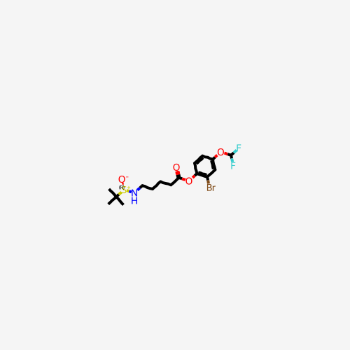 CC(C)(C)[S@+]([O-])NCCCCC(=O)Oc1ccc(OC(F)F)cc1Br